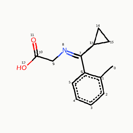 Cc1ccccc1/C(=N\CC(=O)O)C1CC1